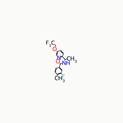 Cc1ccc(C(=O)NC(C)c2ccc(OCC(F)(F)F)cn2)cc1F